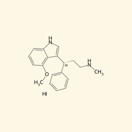 CNCC[C@H](c1ccccc1)c1c[nH]c2cccc(OC)c12.I